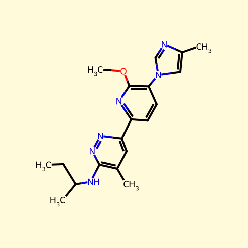 CCC(C)Nc1nnc(-c2ccc(-n3cnc(C)c3)c(OC)n2)cc1C